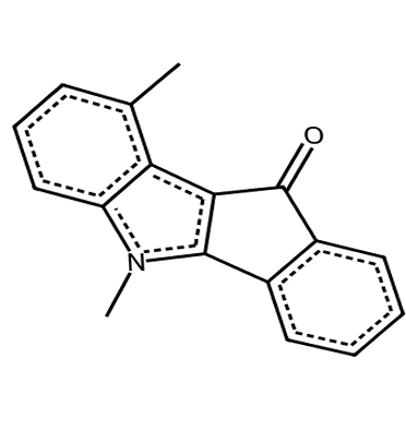 Cc1cccc2c1c1c(n2C)-c2ccccc2C1=O